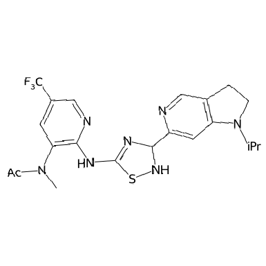 CC(=O)N(C)c1cc(C(F)(F)F)cnc1NC1=NC(c2cc3c(cn2)CCN3C(C)C)NS1